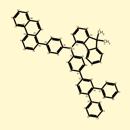 CC1(C)c2ccccc2-c2c(N(c3ccc(-c4ccc(-c5ccccc5)c(-c5ccccc5)c4)cc3)c3ccc(-c4cccc5c4ccc4ccccc45)cc3)cccc21